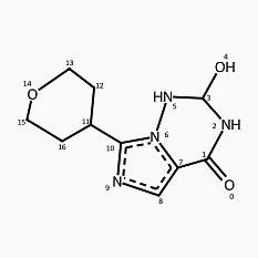 O=C1NC(O)Nn2c1cnc2C1CCOCC1